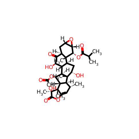 CC(=O)O[C@@H]1[C@H]2[C@@H]3[C@@H](O)C(=O)[C@H]4C[C@@H]5O[C@@H]5[C@H](OC(=O)C(C)C)[C@]4(C)[C@H]3C[C@H](O)[C@]2(C)[C@@H]2[C@@H]1[C@]1(C)C(=C[C@H]2C)OC(=O)[C@@]1(C)O